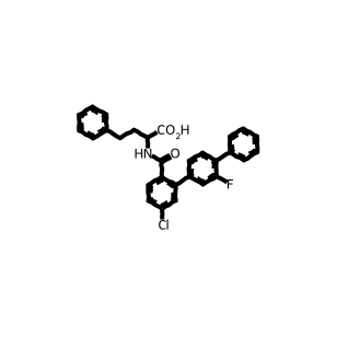 O=C(NC(CCc1ccccc1)C(=O)O)c1ccc(Cl)cc1-c1ccc(-c2ccccc2)c(F)c1